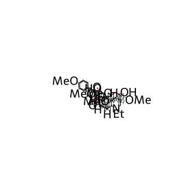 CCN1C[C@]2(COC)[C@H](O)C[C@H](OC)[C@]34C1[C@H]([C@H](OC)[C@H]23)[C@H]1C(=O)[C@H](OC)[C@@]2(O)C[C@@H]4[C@@H]1[C@H]2OC(=O)c1ccc(OC)cc1